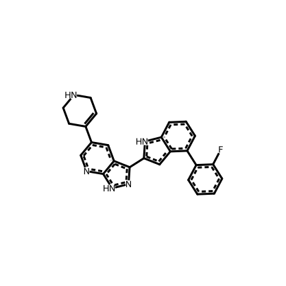 Fc1ccccc1-c1cccc2[nH]c(-c3n[nH]c4ncc(C5=CCNCC5)cc34)cc12